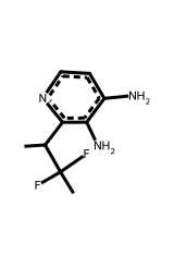 CC(c1nccc(N)c1N)C(C)(F)F